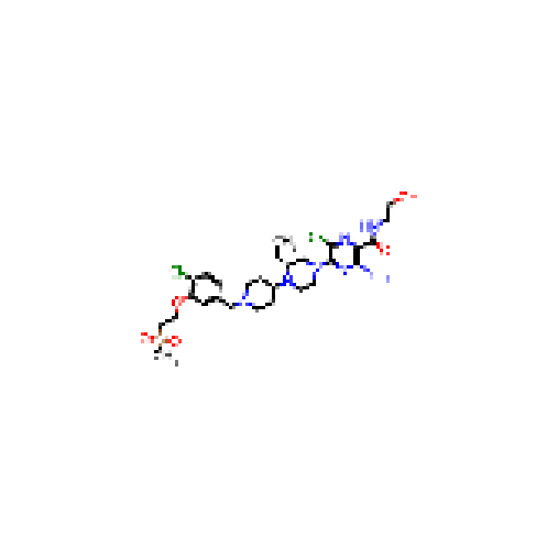 CC[C@H]1CN(c2nc(N)c(C(=O)NCCO)nc2Cl)CCN1C1CCN(Cc2ccc(Cl)c(OCCS(C)(=O)=O)c2)CC1